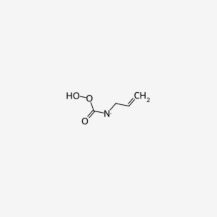 C=CC[N]C(=O)OO